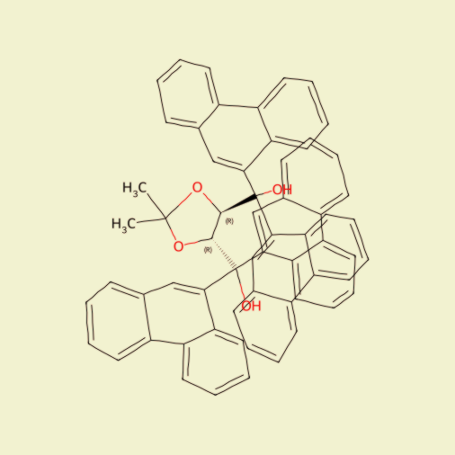 CC1(C)O[C@@H](C(O)(c2cc3ccccc3c3ccccc23)c2cc3ccccc3c3ccccc23)[C@H](C(O)(c2cc3ccccc3c3ccccc23)c2cc3ccccc3c3ccccc23)O1